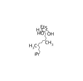 CCSC(CO)C(C)(O)CCCC(C)CCCC(C)CCCC(C)C